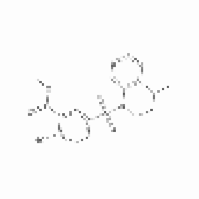 COC(=O)c1cc(S(=O)(=O)N2CCC(C)c3ccccc32)ccc1O